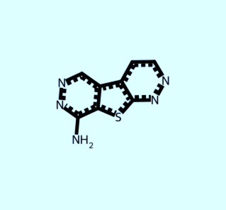 Nc1nncc2c1sc1nnccc12